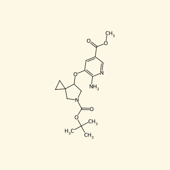 COC(=O)c1cnc(N)c(OC2CN(C(=O)OC(C)(C)C)CC23CC3)c1